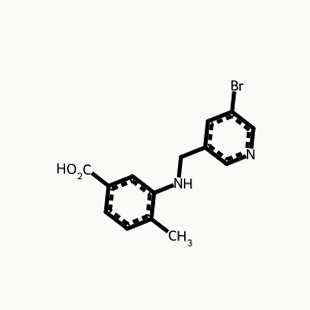 Cc1ccc(C(=O)O)cc1NCc1cncc(Br)c1